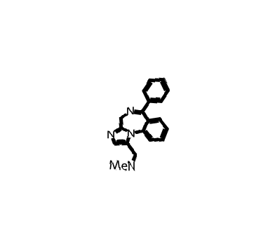 CNCc1cnc2n1-c1ccccc1C(c1ccccc1)=NC2